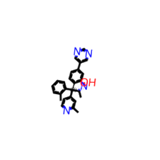 C/C(=N/O)[C@](c1ccc(-c2cncnc2)cc1)(c1ccnc(C)c1)c1ccccc1C